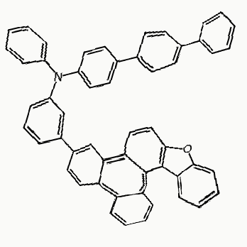 c1ccc(-c2ccc(-c3ccc(N(c4ccccc4)c4cccc(-c5ccc6c7ccccc7c7c(ccc8oc9ccccc9c87)c6c5)c4)cc3)cc2)cc1